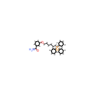 NC(=O)c1cccc(OCCCCCC[PH](c2ccccc2)(c2ccccc2)c2ccccc2)c1